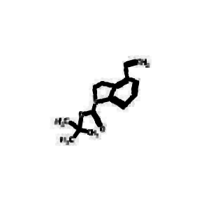 C=Cc1cccc2c1CCN2C(=O)OC(C)(C)C